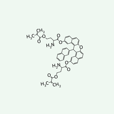 C=C(C)C(=O)OCCC(N)C(=O)Oc1ccc2ccc3c(c2c1)C(c1ccc2ccccc2c1)c1c(ccc2ccc(OC(=O)C(N)CCOC(=O)C(=C)C)cc12)O3